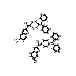 O=C(c1cc2cc(C(F)(F)F)ccc2s1)N1CCN(C(c2ccccc2)c2ccccc2)CC1.O=C(c1cc2ccc(Cl)cc2s1)N1CCN(C(c2ccccc2)c2ccccc2)CC1